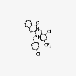 O=c1c2ccccc2nc(SCc2ccc(Cl)cc2)n1Cc1ncc(C(F)(F)F)cc1Cl